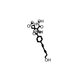 CNC1(C(NC(=O)c2ccc(C#CC#CCCO)cc2)C(=O)NO)CS(=O)(=O)C1